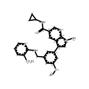 CCOC(=O)c1cccnc1NCc1cc(OC(C)C)cc(-c2cn(S)c3ncc(C(=O)NC4CC4)cc23)c1